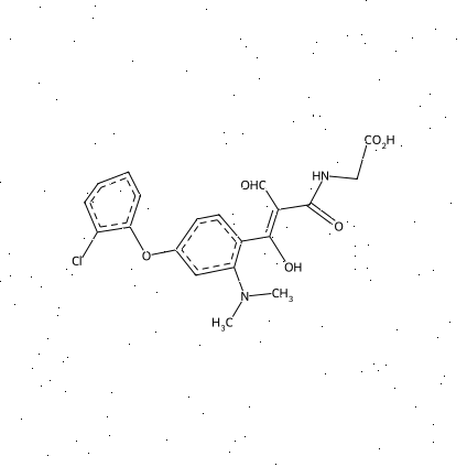 CN(C)c1cc(Oc2ccccc2Cl)ccc1/C(O)=C(\C=O)C(=O)NCC(=O)O